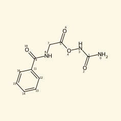 NC(=O)NOC(=O)CNC(=O)c1ccccc1